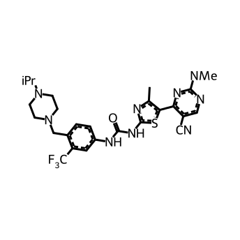 CNc1ncc(C#N)c(-c2sc(NC(=O)Nc3ccc(CN4CCN(C(C)C)CC4)c(C(F)(F)F)c3)nc2C)n1